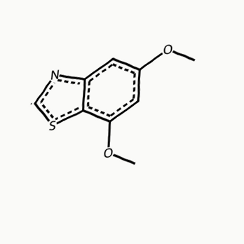 COc1cc(OC)c2s[c]nc2c1